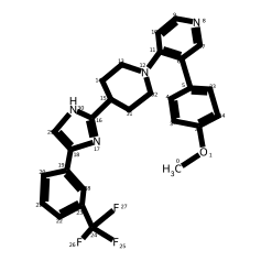 COc1ccc(-c2cnccc2N2CCC(c3nc(-c4cccc(C(F)(F)F)c4)c[nH]3)CC2)cc1